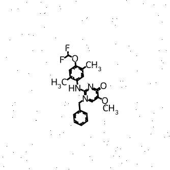 COc1cn(Cc2ccccc2)c(Nc2cc(C)c(OC(F)F)cc2C)nc1=O